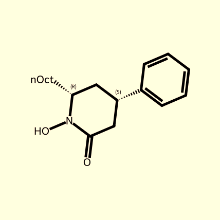 CCCCCCCC[C@@H]1C[C@H](c2ccccc2)CC(=O)N1O